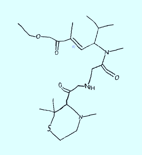 CCOC(=O)/C(C)=C/C(C(C)C)N(C)C(=O)CNC(=O)C1N(C)CCSC1(C)C